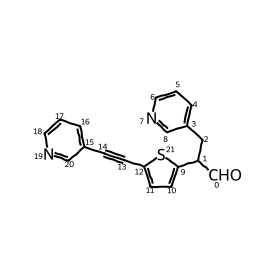 O=CC(Cc1cccnc1)c1ccc(C#Cc2cccnc2)s1